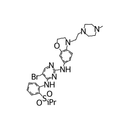 CC(C)S(=O)(=O)c1ccccc1Nc1nc(Nc2ccc3c(c2)OCCN3CCN2CCN(C)CC2)ncc1Br